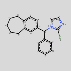 Clc1nccn1C(c1ccccc1)c1ccc2c(c1)CCCCC2